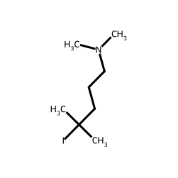 CN(C)CCCC(C)(C)I